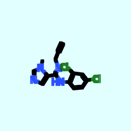 C#CCN=C(Nc1ccc(Cl)cc1Cl)c1cncn1C